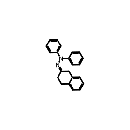 c1ccc(N(N=C2CCc3ccccc3C2)c2ccccc2)cc1